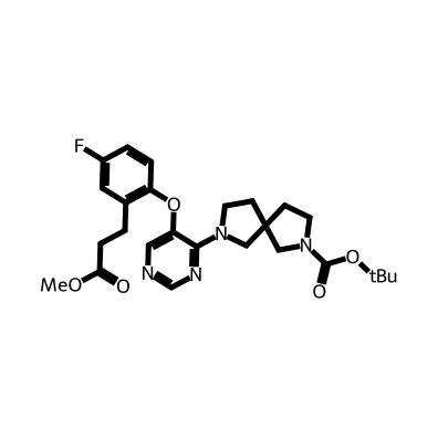 COC(=O)CCc1cc(F)ccc1Oc1cncnc1N1CCC2(CCN(C(=O)OC(C)(C)C)C2)C1